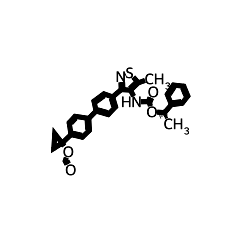 Cc1snc(-c2ccc(-c3ccc(C4(OC=O)CC4)cc3)cc2)c1NC(=O)O[C@H](C)c1ccccc1